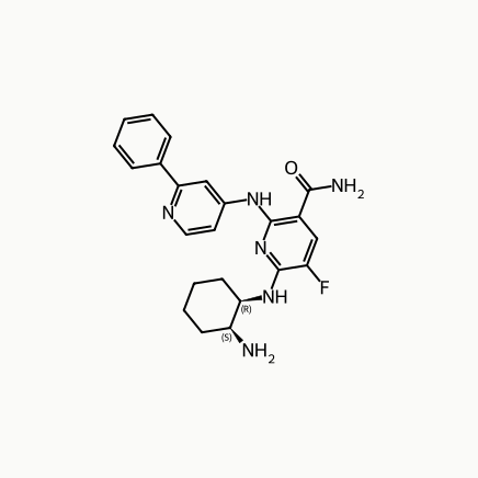 NC(=O)c1cc(F)c(N[C@@H]2CCCC[C@@H]2N)nc1Nc1ccnc(-c2ccccc2)c1